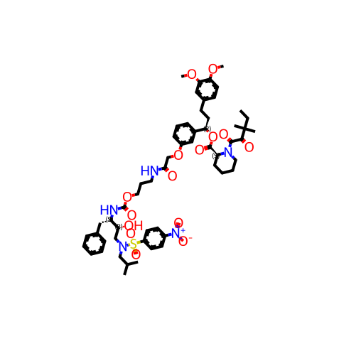 CCC(C)(C)C(=O)C(=O)N1CCCC[C@H]1C(=O)O[C@H](CCc1ccc(OC)c(OC)c1)c1cccc(OCC(=O)NCCCOC(=O)N[C@@H](Cc2ccccc2)[C@H](O)CN(CC(C)C)S(=O)(=O)c2ccc([N+](=O)[O-])cc2)c1